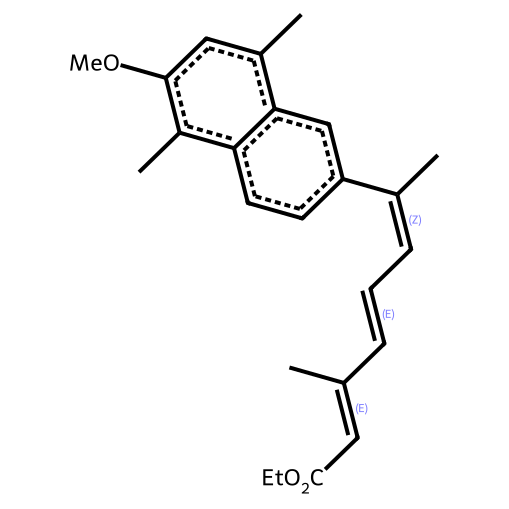 CCOC(=O)/C=C(C)/C=C/C=C(/C)c1ccc2c(C)c(OC)cc(C)c2c1